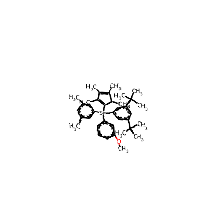 COc1cccc([Si](C2=C(C)C(C)=C(C)C2C)(c2cc(C)cc(C)c2)c2cc(C(C)(C)C)cc(C(C)(C)C)c2)c1